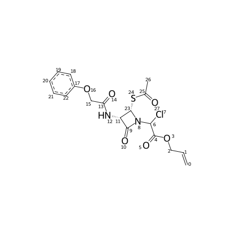 C=CCOC(=O)C(Cl)N1C(=O)[C@H](NC(=O)COc2ccccc2)[C@@H]1SC(C)=O